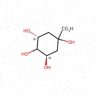 O=C(O)C1(O)C[C@@H](O)C(O)[C@H](O)C1